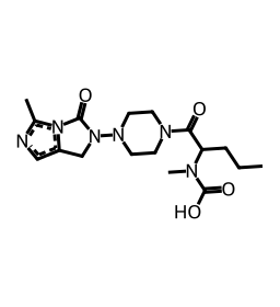 CCCC(C(=O)N1CCN(N2Cc3cnc(C)n3C2=O)CC1)N(C)C(=O)O